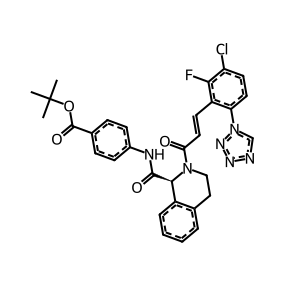 CC(C)(C)OC(=O)c1ccc(NC(=O)[C@@H]2c3ccccc3CCN2C(=O)/C=C/c2c(-n3cnnn3)ccc(Cl)c2F)cc1